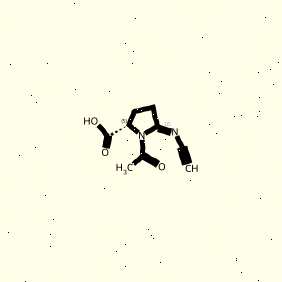 C#C/N=C1/CC[C@@H](C(=O)O)N1C(C)=O